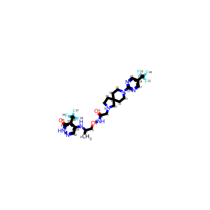 CC(CONC(=O)CN1CCC2(CCN(c3ncc(C(F)(F)F)cn3)CC2)C1)Nc1cn[nH]c(=O)c1C(F)(F)F